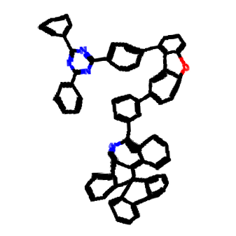 c1ccc(-c2nc(-c3ccccc3)nc(-c3ccc(-c4cccc5oc6ccc(-c7cccc(-c8nc9c(c%10ccccc8%10)C8(c%10ccccc%10-c%10ccccc%108)c8ccccc8-9)c7)cc6c45)cc3)n2)cc1